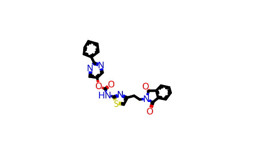 O=C(Nc1nc(CCN2C(=O)c3ccccc3C2=O)cs1)Oc1cnc(-c2ccccc2)nc1